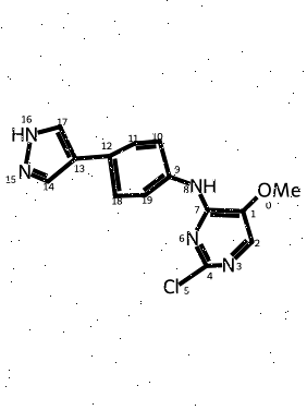 COc1cnc(Cl)nc1Nc1ccc(-c2cn[nH]c2)cc1